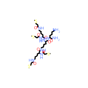 CSCCC(=O)NCCCCC(NC(=O)CCSC)C(=O)NCCCCC(NC(=O)C(CCCCNC(=O)CCSC)NC(=O)CCSC)C(=O)NC(CCCCN)C(N)=O